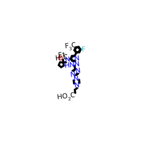 CCOCC1(CN(C)c2cc(-c3cc(F)cc(C(F)(F)F)c3)nc3nc(-c4cnc(N5CCN(CCCC(=O)O)CC5)cn4)[nH]c23)CCCC1